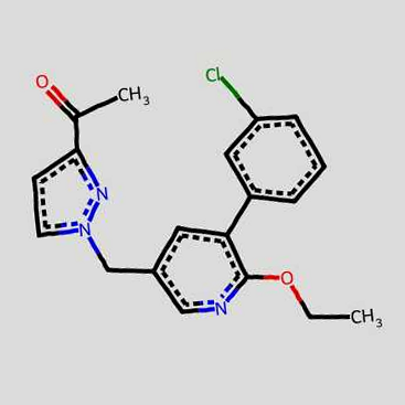 CCOc1ncc(Cn2ccc(C(C)=O)n2)cc1-c1cccc(Cl)c1